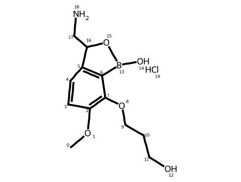 COc1ccc2c(c1OCCCO)B(O)OC2CN.Cl